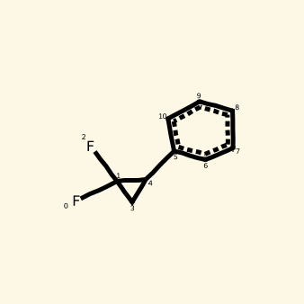 FC1(F)CC1c1c[c]ccc1